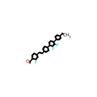 C=Cc1ccc(-c2ccc(-c3ccc(/C=C/c4ccc(C5CO5)c(F)c4)cc3)c(F)c2F)cc1